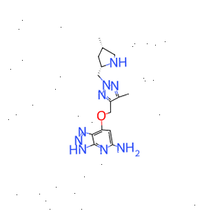 Cc1nn(C[C@@H]2C[C@H](C)CN2)nc1COc1cc(N)nc2[nH]nnc12